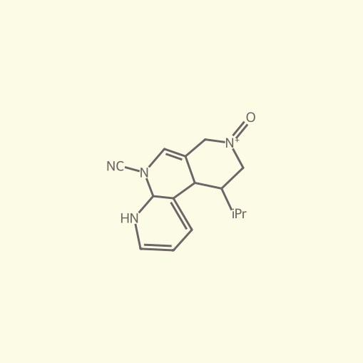 CC(C)C1C[N+](=O)CC2=CN(C#N)C3NC=CC=C3C21